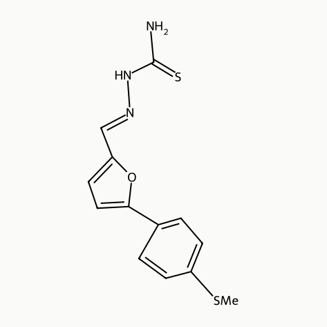 CSc1ccc(-c2ccc(C=NNC(N)=S)o2)cc1